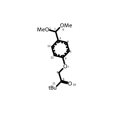 COC(OC)c1ccc(OCC(=O)C(C)(C)C)cc1